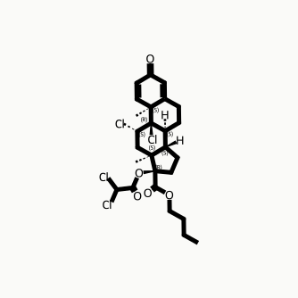 CCCCOC(=O)[C@@]1(OC(=O)C(Cl)Cl)CC[C@H]2[C@@H]3CCC4=CC(=O)C=C[C@]4(C)[C@@]3(Cl)[C@@H](Cl)C[C@@]21C